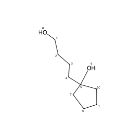 OCCCCC1(O)CCCC1